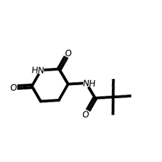 CC(C)(C)C(=O)NC1CCC(=O)NC1=O